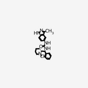 Cc1n[nH]c2ccc(NC(=O)N[C@H](c3ccccc3)[C@H]3CCCCN3C)cc12